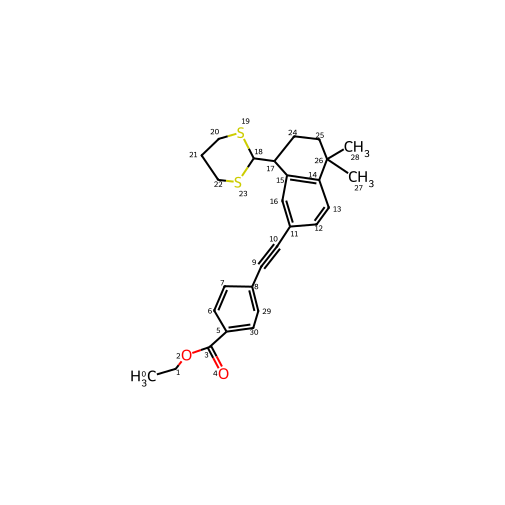 CCOC(=O)c1ccc(C#Cc2ccc3c(c2)C(C2SCCCS2)CCC3(C)C)cc1